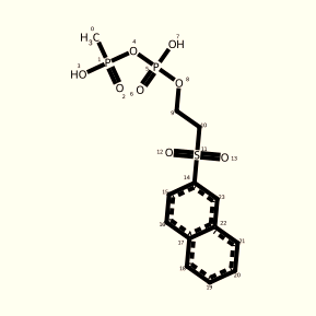 CP(=O)(O)OP(=O)(O)OCCS(=O)(=O)c1ccc2ccccc2c1